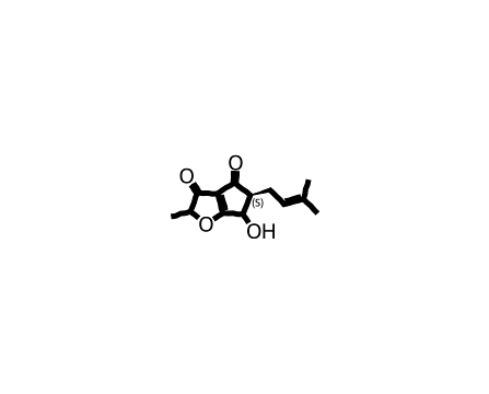 CC(C)=CC[C@@H]1C(=O)C2=C(OC(C)C2=O)C1O